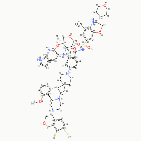 CC(C)Oc1ccccc1[C@@H]1CN([C@H]2COCc3c2ccc(F)c3F)CCN1C1CC2(CCN(c3ccc(C(=O)NS(=O)(=O)c4cc5c(c([N+](=O)[O-])c4)N[C@H](C4CCOCC4)CO5)c(N4c5cc6cc[nH]c6nc5O[C@H]5COCC[C@@H]54)c3)CC2)C1